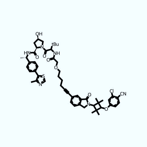 Cc1ncsc1-c1ccc([C@H](C)NC(=O)[C@H]2C[C@@H](O)CN2C(=O)C(NC(=O)COCCCCC#Cc2ccc3c(c2)C(=O)N(C2C(C)(C)C(Oc4ccc(C#N)c(Cl)c4)C2(C)C)C3)C(C)(C)C)cc1